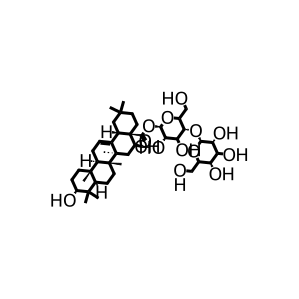 CC1(C)CC[C@]2(C(=O)O[C@H]3OC(CO)[C@H](O[C@@H]4OC(CO)[C@H](O)C(O)[C@H]4O)C(O)[C@H]3O)C(O)C[C@]3(C)C(=CC[C@@H]4[C@@]5(C)CC[C@H](O)C(C)(C)[C@@H]5CC[C@]43C)[C@@H]2C1